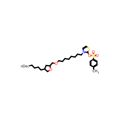 CCCCCCCCCCCCCCC1COC(COCCCCCCCCN2C=CSC2OS(=O)(=O)c2ccc(C)cc2)C1